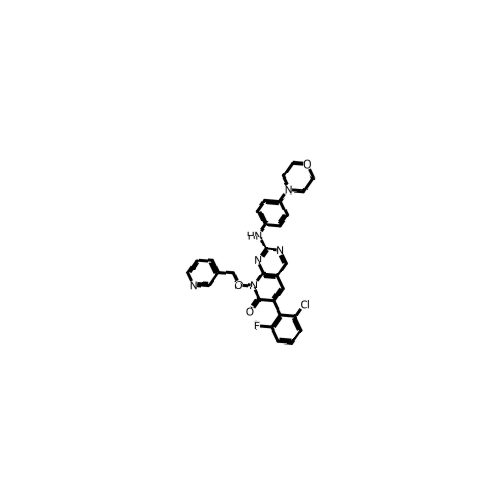 O=c1c(-c2c(F)cccc2Cl)cc2cnc(Nc3ccc(N4CCOCC4)cc3)nc2n1OCc1cccnc1